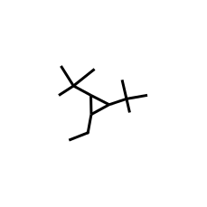 CCC1[C](C(C)(C)C)C1C(C)(C)C